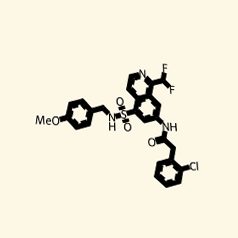 COc1ccc(CNS(=O)(=O)c2cc(NC(=O)Cc3ccccc3Cl)cc3c(C(F)F)nccc23)cc1